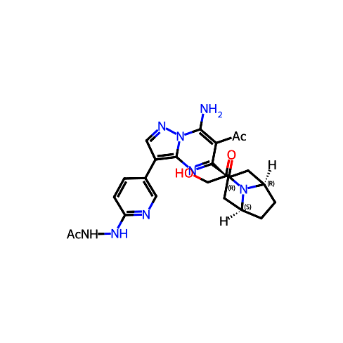 CC(=O)NNc1ccc(-c2cnn3c(N)c(C(C)=O)c([C@H]4C[C@H]5CC[C@@H](C4)N5C(=O)CO)nc23)cn1